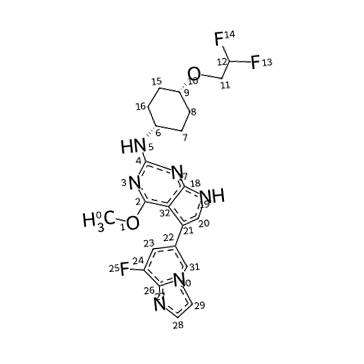 COc1nc(N[C@H]2CC[C@@H](OCC(F)F)CC2)nc2[nH]cc(-c3cc(F)c4nccn4c3)c12